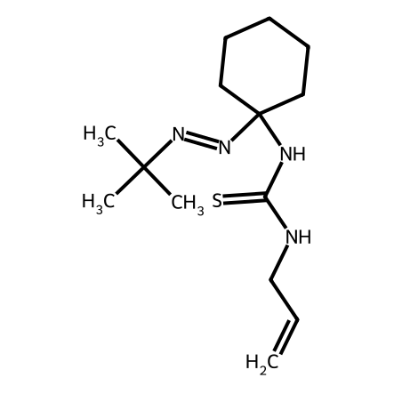 C=CCNC(=S)NC1(N=NC(C)(C)C)CCCCC1